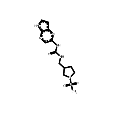 CS(=O)(=O)N1CCC(CNC(=O)Nc2cnc3[nH]ccc3n2)C1